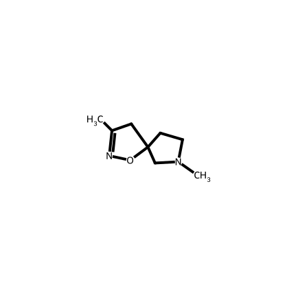 CC1=NOC2(CCN(C)C2)C1